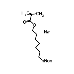 C=C(C)C(=O)OCCCCCCCCCCCCCCCC.[Na]